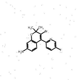 CC1(C)Oc2cc(N)ccc2C(c2ccc(F)cn2)=C1Br